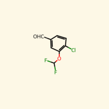 O=Cc1ccc(Cl)c(OC(F)F)c1